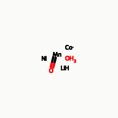 O.[Co].[LiH].[Ni].[O]=[Mn]